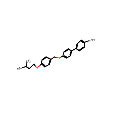 CCCCCCCCc1ccc(-c2ccc(OCc3ccc(OCCC(CCCC)C(F)(F)F)cc3)cc2)cc1